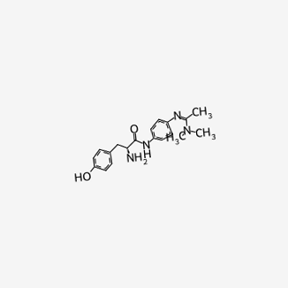 CC(=Nc1ccc(NC(=O)[C@@H](N)Cc2ccc(O)cc2)cc1)N(C)C